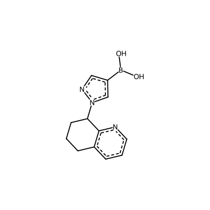 OB(O)c1cnn(C2CCCc3cccnc32)c1